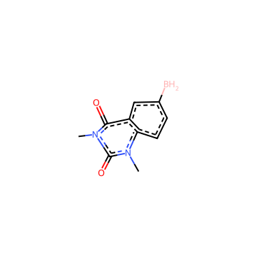 Bc1ccc2c(c1)c(=O)n(C)c(=O)n2C